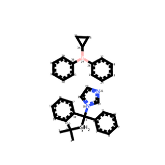 CC(C)(C)[SiH2]C(c1ccccc1)(c1ccccc1)n1ccnc1.c1ccc(B(c2ccccc2)C2CC2)cc1